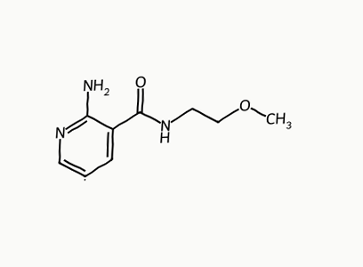 COCCNC(=O)c1c[c]cnc1N